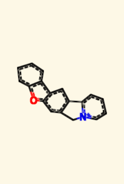 c1cc[n+]2c(c1)-c1cc3c(cc1C2)oc1ccccc13